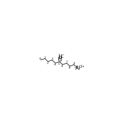 CCCCCCCCC[CH2][Al+2].[H-].[H-]